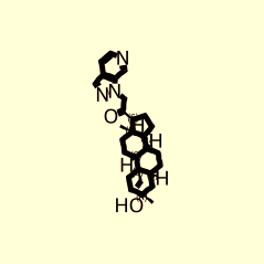 CC[C@]12CC[C@@](C)(O)C[C@@H]1CC[C@H]1[C@@H]3CC[C@H](C(=O)Cn4ncc5ccncc54)[C@@]3(C)CC[C@@H]12